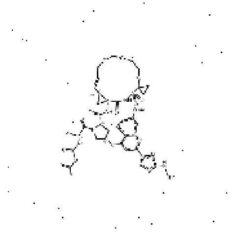 C=C(C)OC(=O)N[C@H](C(=O)N1C[C@H](Oc2cc(-c3csc(NC(C)C)n3)nc3cc(OC)ccc23)C[C@H]1C(=O)N[C@]12C[C@H]1/C=C/CCCCCCCC1(CC1)S(=O)(=O)NC2=O)C(C)C